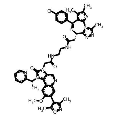 COc1cc2c(cc1-c1c(C)noc1C)ncc1c2n([C@H](C)c2ccccn2)c(=O)n1CC(=O)NCCNC(=O)C[C@@H]1N=C(c2ccc(Cl)cc2)c2c(sc(C)c2C)-n2c(C)nnc21